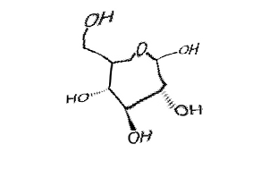 OCC1OC(O)[C@H](O)[C@@H](O)[C@@H]1O